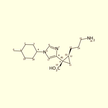 CC1CCC(n2cnc([C@@]3(C(=O)O)C[C@@H]3CCCN)c2)CC1